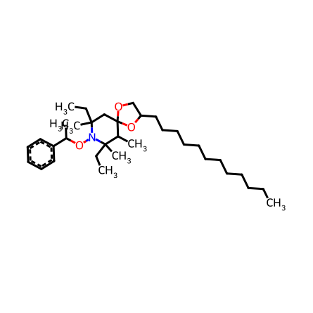 CCCCCCCCCCCCC1COC2(CC(C)(CC)N(OC(C)c3ccccc3)C(C)(CC)C2C)O1